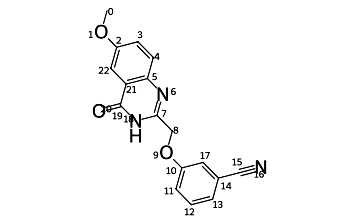 COc1ccc2nc(COc3cccc(C#N)c3)[nH]c(=O)c2c1